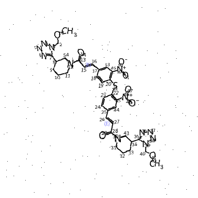 COCn1nnnc1C1CCCN(C(=O)/C=C/c2ccc(Sc3ccc(/C=C/C(=O)N4CCCC(c5nnnn5COC)C4)cc3[N+](=O)[O-])c([N+](=O)[O-])c2)C1